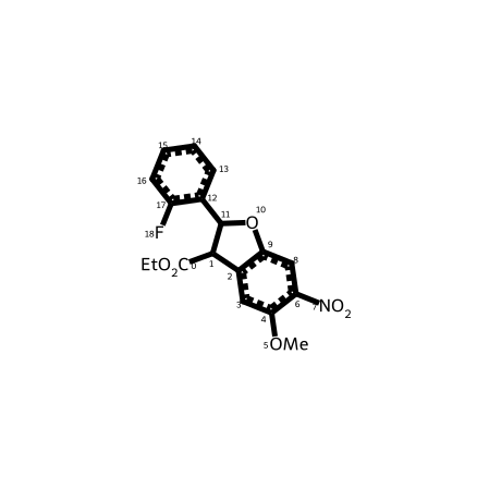 CCOC(=O)C1c2cc(OC)c([N+](=O)[O-])cc2OC1c1ccccc1F